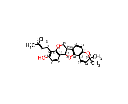 CC(C)=CCc1c(O)ccc2c1OCC1c3ccc4c(c3OC21)C=CC(C)(C)O4